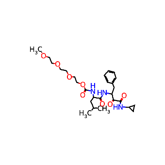 COCCOCCOCCOC(=O)NC(CC(C)C)C(=O)NC(Cc1ccccc1)C(=O)C(=O)NC1CC1